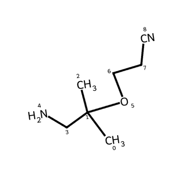 CC(C)(CN)OCCC#N